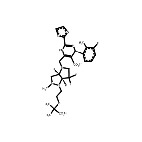 CCOC(=O)C1=C(CN2CC(F)(F)[C@H]3[C@@H]2CN(C)N3CCOC(C)(C)C(=O)O)NC(c2nccs2)=N[C@H]1c1cccc(F)c1C